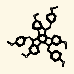 COc1ccc(CC2c3cc(OC)ccc3-c3c2c2c(c4c3C(Cc3ccc(OC)cc3)c3cc(OC)ccc3-4)C(Cc3ccc(OC)cc3)c3cc(OC)ccc3-2)cc1